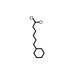 ClC(Cl)CCCCCC1CCCCC1